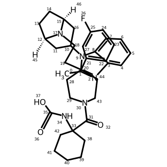 Cc1nc2ccccc2n1C1C[C@H]2CC[C@@H](C1)N2CCC1(c2cccc(F)c2)CCN(C(=O)C2(NC(=O)O)CCCCC2)CC1